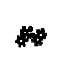 O=C1N=NC(c2ccccc2)=C1N=Nc1cccc2ccccc12